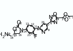 CC1OC(c2nc(-c3cnn(-c4ccc(N5C[C@H](CN)OC5=O)cc4F)c3)no2)O1